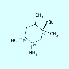 CCCC[C@@]1(C)C[C@H](N)[C@H](O)CC1C